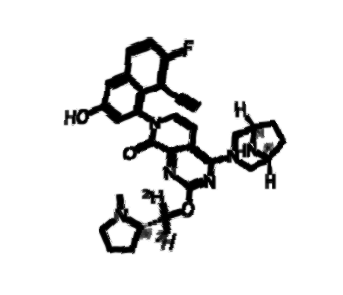 [2H]C([2H])(Oc1nc(N2C[C@H]3CC[C@@H](C2)N3)c2ccn(-c3cc(O)cc4ccc(F)c(C#C)c34)c(=O)c2n1)[C@@H]1CCCN1C